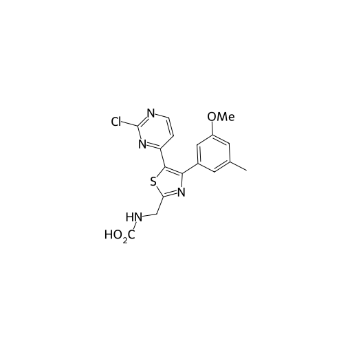 COc1cc(C)cc(-c2nc(CNC(=O)O)sc2-c2ccnc(Cl)n2)c1